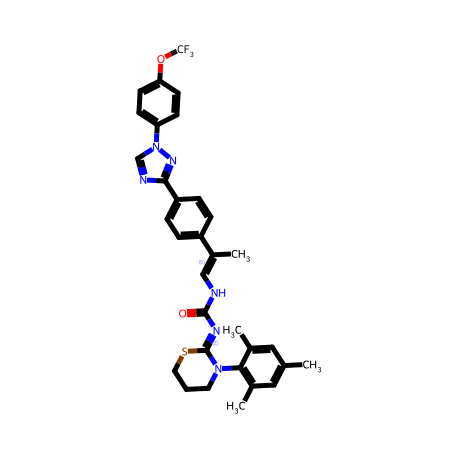 C/C(=C\NC(=O)/N=C1\SCCCN1c1c(C)cc(C)cc1C)c1ccc(-c2ncn(-c3ccc(OC(F)(F)F)cc3)n2)cc1